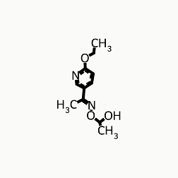 CCOc1ccc(C(C)=NOC(C)O)cn1